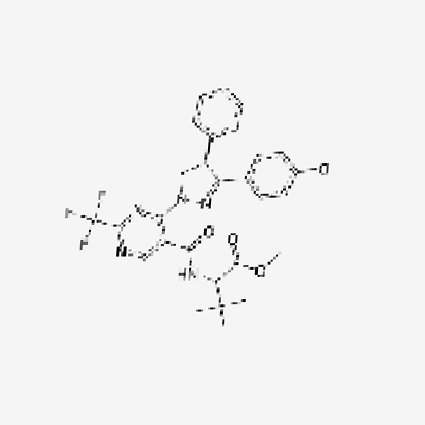 COC(=O)[C@@H](NC(=O)c1cnc(C(F)(F)F)nc1N1C[C@@H](c2ccccc2)C(c2ccc(Cl)cc2)=N1)C(C)(C)C